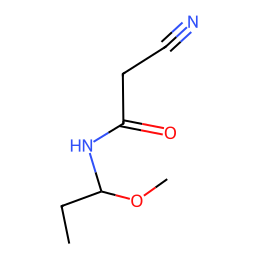 CCC(NC(=O)CC#N)OC